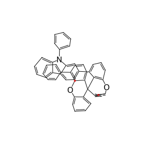 c1ccc(-c2cccc3c2Oc2ccccc2C32c3ccccc3Oc3cccc(-c4ccc5c6ccccc6n(-c6ccccc6)c5c4)c32)cc1